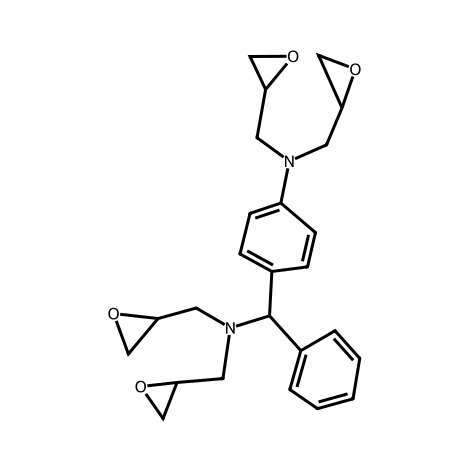 c1ccc(C(c2ccc(N(CC3CO3)CC3CO3)cc2)N(CC2CO2)CC2CO2)cc1